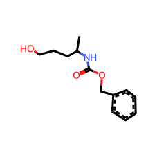 CC(CCCO)NC(=O)OCc1ccccc1